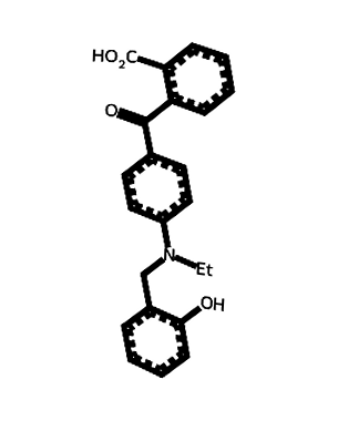 CCN(Cc1ccccc1O)c1ccc(C(=O)c2ccccc2C(=O)O)cc1